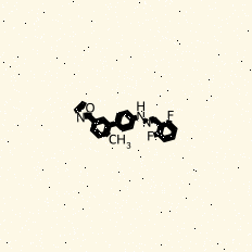 Cc1ccc(-c2ncco2)cc1-c1ccc(N/N=C/c2c(F)cccc2F)cc1